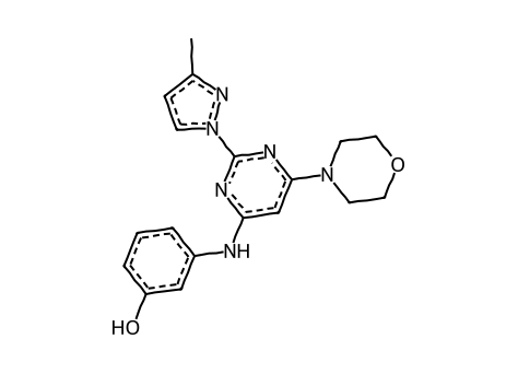 Cc1ccn(-c2nc(Nc3cccc(O)c3)cc(N3CCOCC3)n2)n1